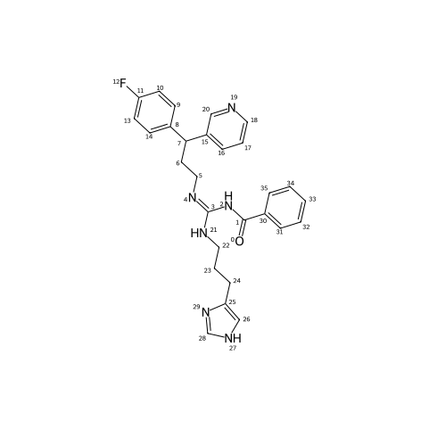 O=C(NC(=NCCC(c1ccc(F)cc1)c1cccnc1)NCCCc1c[nH]cn1)c1ccccc1